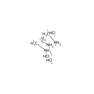 CN.CN.CN.Cl.Cl.Cl